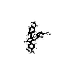 COc1ccc(CC2=C(c3ccc4nsnc4c3)C(=O)OC2(O)c2ccc3c(c2)CCO3)s1